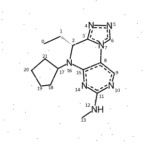 CC[C@@H]1c2nncn2-c2cnc(NC)nc2N1C1CCCC1